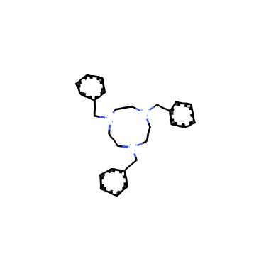 c1ccc(CN2CCN(Cc3ccccc3)CCN(Cc3ccccc3)CC2)cc1